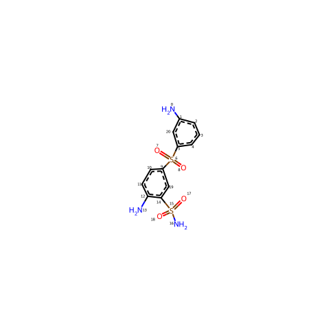 Nc1cccc(S(=O)(=O)c2ccc(N)c(S(N)(=O)=O)c2)c1